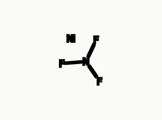 FN(F)F.[Ni]